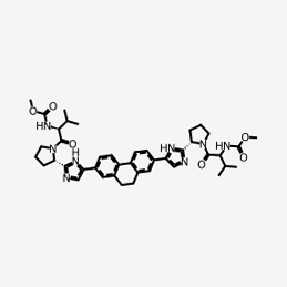 COC(=O)NC(C(=O)N1CCC[C@H]1c1ncc(-c2ccc3c(c2)CCc2cc(-c4cnc([C@@H]5CCCN5C(=O)[C@@H](NC(=O)OC)C(C)C)[nH]4)ccc2-3)[nH]1)C(C)C